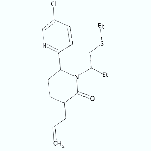 C=CCC1CCC(c2ccc(Cl)cn2)N(C(CC)CSCC)C1=O